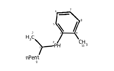 CCCCCC(C)Pc1ccccc1C